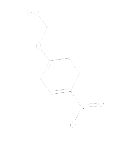 O=[N+]([O-])C1=CC=C(OCO)CC1